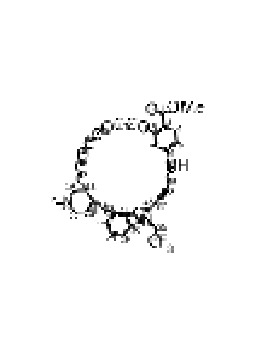 COC(=O)c1ccc2cc1OCCOCCOCCC1CN(C)CCC1Nc1cccc3c1cc(n3CC(F)(F)F)C#CCN2